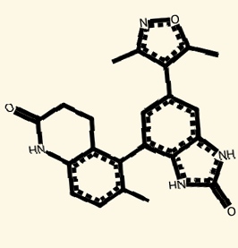 Cc1ccc2c(c1-c1cc(-c3c(C)noc3C)cc3[nH]c(=O)[nH]c13)CCC(=O)N2